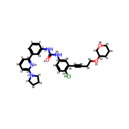 O=C(Nc1cccc(-c2cccc(N3CCCC3)n2)c1)Nc1ccc(Cl)c(C#CCCOC2CCCOC2)c1